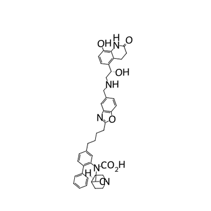 O=C1CCc2c([C@H](O)CNCc3ccc4oc(CCCCc5ccc(-c6ccccc6)c(N(C(=O)O)[C@H]6CN7CCC6CC7)c5)nc4c3)ccc(O)c2N1